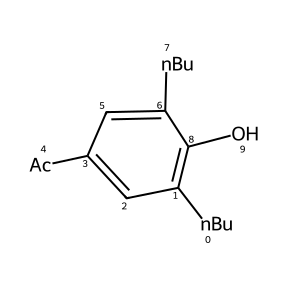 CCCCc1cc(C(C)=O)cc(CCCC)c1O